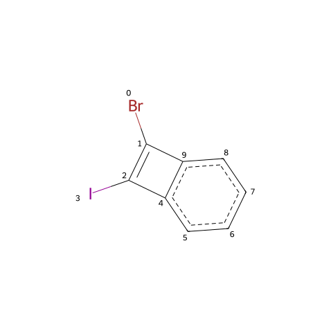 BrC1=C(I)c2ccccc21